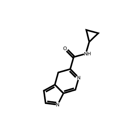 O=C(NC1CC1)C1=NC=C2N=CC=C2C1